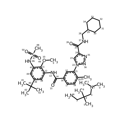 CN(C)CC(C)(C)CN.COc1c(NC(=O)c2ccc(C)c(-n3cc(C(=O)NCC4CCCCC4)nn3)c2)cc(C(C)(C)C)cc1NS(C)(=O)=O